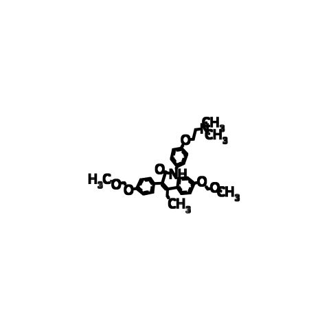 CCC(=C(C(=O)Nc1ccc(OCCN(C)C)cc1)c1ccc(OCOC)cc1)c1ccc(OCOC)cc1